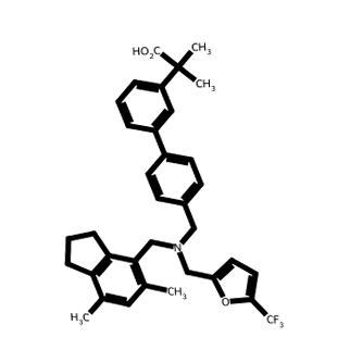 Cc1cc(C)c(CN(Cc2ccc(-c3cccc(C(C)(C)C(=O)O)c3)cc2)Cc2ccc(C(F)(F)F)o2)c2c1CCC2